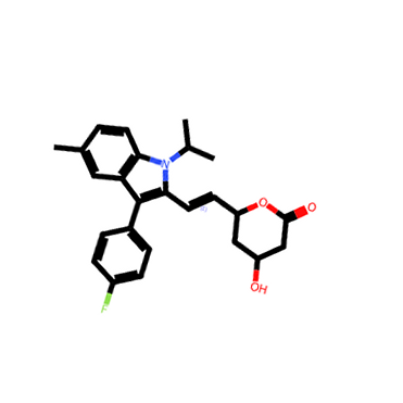 Cc1ccc2c(c1)c(-c1ccc(F)cc1)c(/C=C/C1CC(O)CC(=O)O1)n2C(C)C